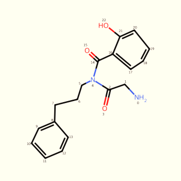 NCC(=O)N(CCCc1ccccc1)C(=O)c1ccccc1O